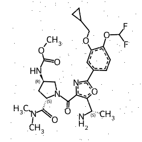 COC(=O)N[C@@H]1C[C@@H](C(=O)N(C)C)N(C(=O)c2nc(-c3ccc(OC(F)F)c(OCC4CC4)c3)oc2[C@H](C)N)C1